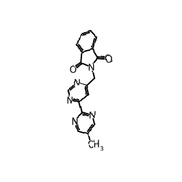 Cc1cnc(-c2cc(CN3C(=O)c4ccccc4C3=O)ncn2)nc1